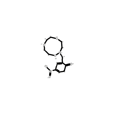 O=C1CC=C([N+](=O)[O-])C=C1CN1CCOCCOCCO1